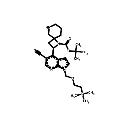 CC(C)(C)OC(=O)N1C(c2c(C#N)cnc3c2ccn3COCC[Si](C)(C)C)CC12CCCNC2